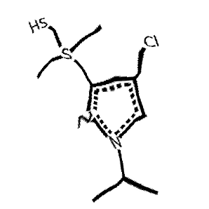 CC(C)n1cc(Cl)c(S(C)(C)S)n1